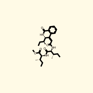 CC[C@H](C)[C@H](NC(=O)/C=C1/c2ccccc2C(=O)N[C@H]1[C@@H](C)CC)C(=O)N[C@H](C(=O)OC)[C@@H](C)CC